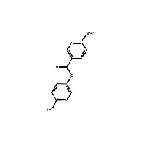 CCCCCc1ccc(C(=O)Oc2ccc(CCC)cc2)cc1